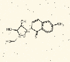 Cc1ccc2c(c1)C=CC([C@@H]1O[C@H](CO)C(O)C1O)C2=S